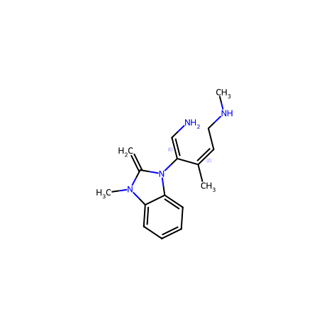 C=C1N(C)c2ccccc2N1C(=C/N)/C(C)=C\CNC